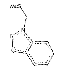 CSCn1nnc2ccccc21